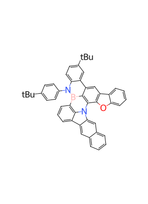 CC(C)(C)c1ccc(N2B3c4c(cc5c(oc6ccccc65)c4-n4c5cc6ccccc6cc5c5cccc3c54)-c3cc(C(C)(C)C)ccc32)cc1